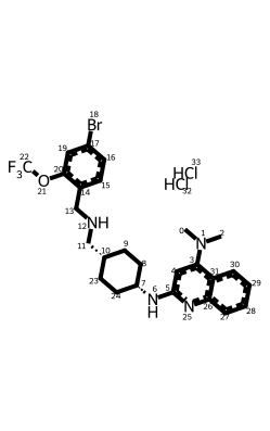 CN(C)c1cc(N[C@H]2CC[C@@H](CNCc3ccc(Br)cc3OC(F)(F)F)CC2)nc2ccccc12.Cl.Cl